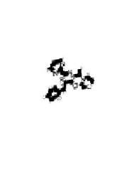 CC(N1CCOCC1)n1nc(-c2ncccn2)nc(Cc2ccccc2)c1=O